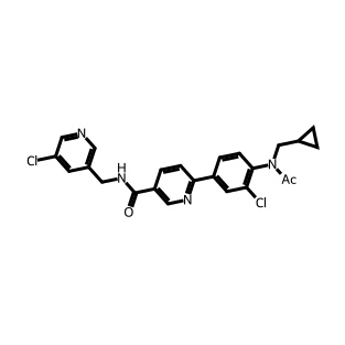 CC(=O)N(CC1CC1)c1ccc(-c2ccc(C(=O)NCc3cncc(Cl)c3)cn2)cc1Cl